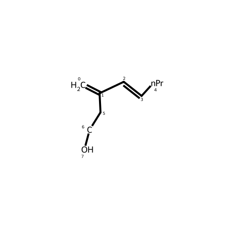 C=C(C=CCCC)CCO